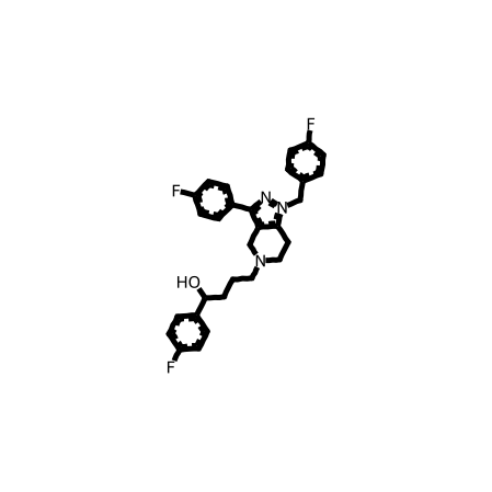 OC(CCCN1CCc2c(c(-c3ccc(F)cc3)nn2Cc2ccc(F)cc2)C1)c1ccc(F)cc1